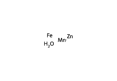 O.[Fe].[Mn].[Zn]